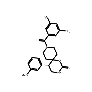 COc1cccc([C@H]2CNC(=O)OC23CCN(C(=O)c2cc(C(F)(F)F)cc(C(F)(F)F)c2)CC3)c1